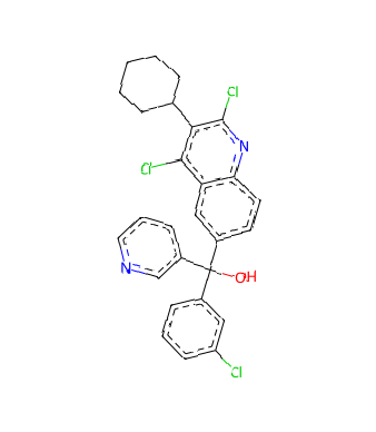 OC(c1cccnc1)(c1cccc(Cl)c1)c1ccc2nc(Cl)c(C3CCCCC3)c(Cl)c2c1